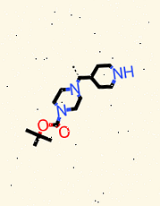 C[C@H](C1CCNCC1)N1CCN(C(=O)OC(C)(C)C)CC1